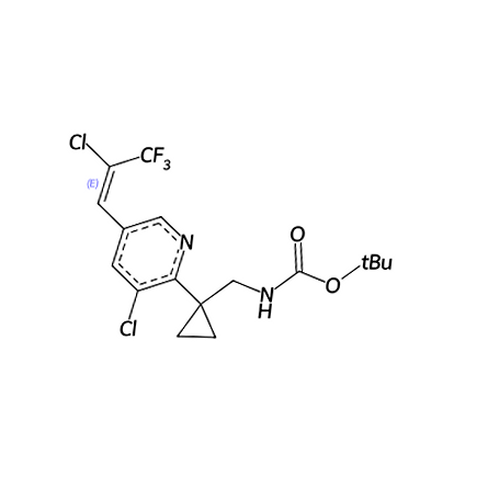 CC(C)(C)OC(=O)NCC1(c2ncc(/C=C(/Cl)C(F)(F)F)cc2Cl)CC1